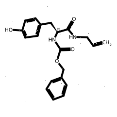 C=CCNC(=O)[C@H](Cc1ccc(O)cc1)NC(=O)OCc1ccccc1